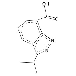 CC(C)c1nnc2c(C(=O)O)cccn12